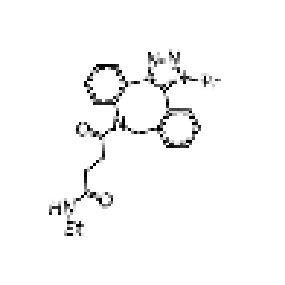 CCNC(=O)CCC(=O)N1Cc2ccccc2-c2c(nnn2C(C)C)-c2ccccc21